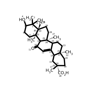 CC1(C)C(O)CC[C@]2(C)C3C(=O)C=C4C5C[C@@](C)(C(=O)O)CC[C@]5(C)CCC4[C@]3(C)CC[C@@H]12